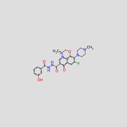 C[C@H]1COc2c(N3CCN(C)CC3)c(F)cc3c(=O)c(C(=O)NNC(=O)c4cccc(O)c4)cn1c23